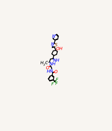 C[C@H](CC(=N)C1CCC(O)(c2cnc(-c3cccnc3)s2)CC1)NC(=O)CNC(=O)c1cccc(C(F)(F)F)c1